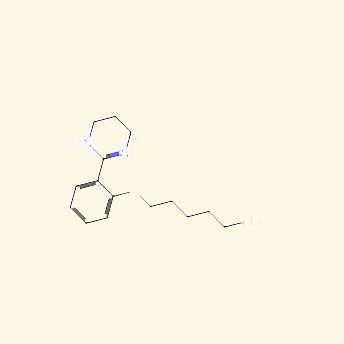 CCCCCCCCCCCCCCCSc1ccccc1C1=NCCCN1